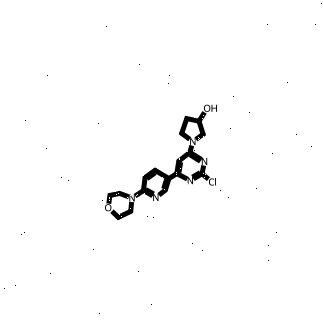 OC1CCN(c2cc(-c3ccc(N4CCOCC4)nc3)nc(Cl)n2)C1